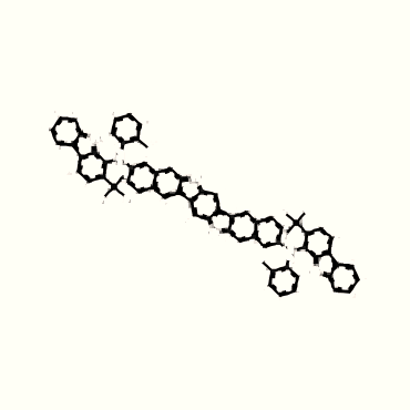 Cc1ccccc1N(c1ccc2cc3c(cc2c1)oc1cc2c(cc13)oc1cc3cc(N(c4ccccc4C)c4c(C(C)(C)C)ccc5c4oc4ccccc45)ccc3cc12)c1c(C(C)(C)C)ccc2c1oc1ccccc12